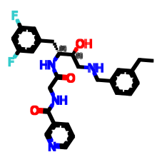 CCc1cccc(CNC[C@H](O)[C@@H](Cc2cc(F)cc(F)c2)NC(=O)CNC(=O)c2cccnc2)c1